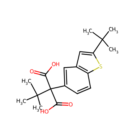 CC(C)(C)c1cc2cc(C(C(=O)O)(C(=O)O)C(C)(C)C)ccc2s1